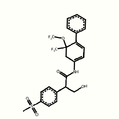 CS(=O)(=O)c1ccc(C(CO)C(=O)NC2=CC=C(c3ccccc3)C(OC(F)(F)F)(C(F)(F)F)C2)cc1